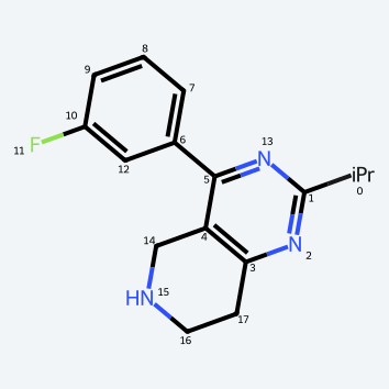 CC(C)c1nc2c(c(-c3cccc(F)c3)n1)CNCC2